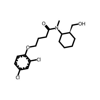 CN(C(=O)CCCOc1ccc(Cl)cc1Cl)C1CCCC[C@@H]1CO